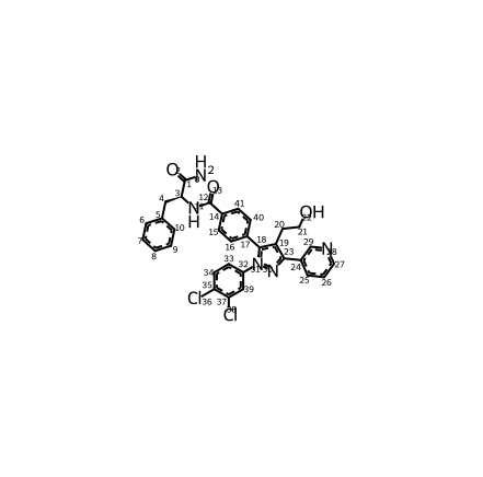 NC(=O)[C@H](Cc1ccccc1)NC(=O)c1ccc(-c2c(CCO)c(-c3cccnc3)nn2-c2ccc(Cl)c(Cl)c2)cc1